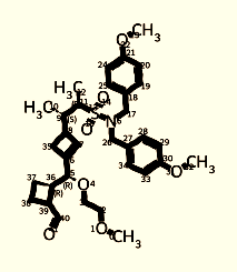 COCCO[C@@H](C1=CC([C@H](C)[C@@H](C)S(=O)(=O)N(Cc2ccc(OC)cc2)Cc2ccc(OC)cc2)C1)[C@@H]1CCC1C=O